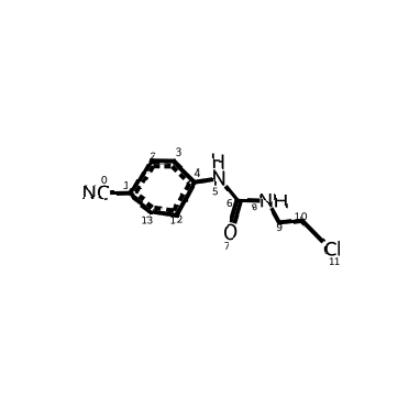 N#Cc1ccc(NC(=O)NCCCl)cc1